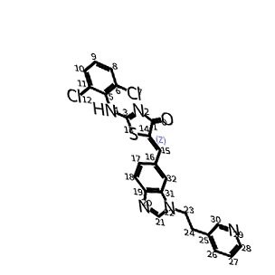 O=C1N=C(Nc2c(Cl)cccc2Cl)S/C1=C\c1ccc2ncn(CCc3cccnc3)c2c1